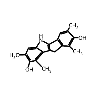 Cc1cc2c(c(C)c1O)Cc1c-2[nH]c2cc(C)c(O)c(C)c12